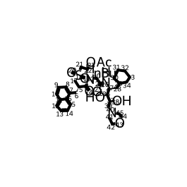 CCCC[C@H](NC(=O)[C@H](Cc1cccc2ccccc12)CS(=O)(=O)CCOC(C)=O)C(=O)N[C@@H](CC1CCCCC1)[C@@H](O)[C@@H](O)CN1CCOCC1